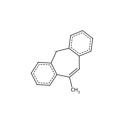 CC1=Cc2ccccc2[C]c2ccccc21